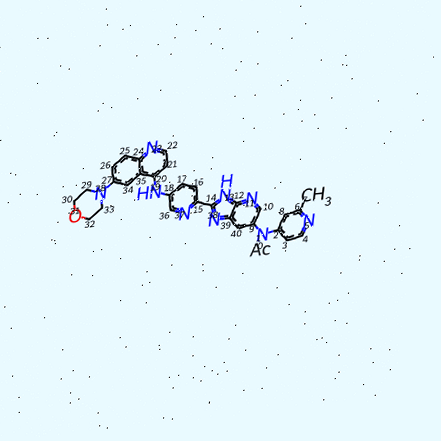 CC(=O)N(c1ccnc(C)c1)c1cnc2[nH]c(-c3ccc(Nc4ccnc5ccc(N6CCOCC6)cc45)cn3)nc2c1